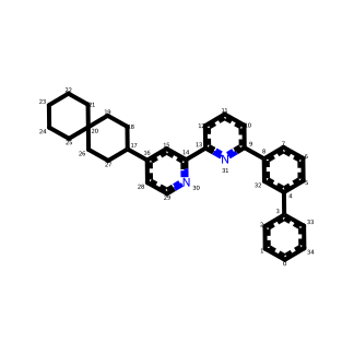 c1ccc(-c2cccc(-c3cccc(-c4cc(C5CCC6(CCCCC6)CC5)ccn4)n3)c2)cc1